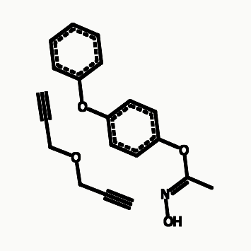 C#CCOCC#C.CC(=NO)Oc1ccc(Oc2ccccc2)cc1